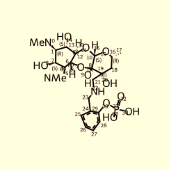 CN[C@@H]1[C@H](O)[C@H](NC)[C@H]2O[C@]3(O)[C@H](O[C@@H]2[C@H]1O)O[C@H](C)C[C@@]3(O)CNCc1ccccc1OP(=O)(O)O